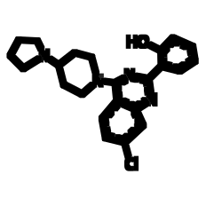 Oc1ccccc1-c1nc(N2CCC(N3CCCC3)CC2)c2ccc(Cl)cc2n1